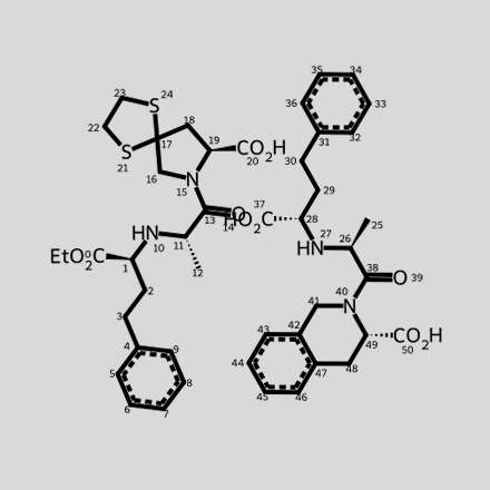 CCOC(=O)[C@H](CCc1ccccc1)N[C@@H](C)C(=O)N1CC2(C[C@H]1C(=O)O)SCCS2.C[C@H](N[C@@H](CCc1ccccc1)C(=O)O)C(=O)N1Cc2ccccc2C[C@H]1C(=O)O